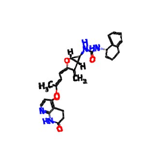 C=C1/C(=C\C=C(/C)Oc2ccnc3c2CCC(=O)N3)O[C@@H]2[C@@H](NC(=O)N[C@H]3CCCc4ccccc43)[C@H]12